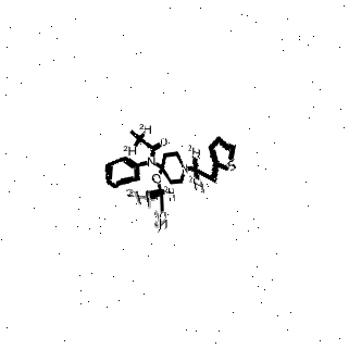 [2H]C([2H])([2H])OC1(N(C(=O)C([2H])([2H])C)c2ccccc2)CCN(C([2H])([2H])Cc2cccs2)CC1